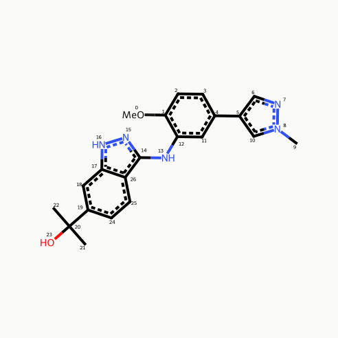 COc1ccc(-c2cnn(C)c2)cc1Nc1n[nH]c2cc(C(C)(C)O)ccc12